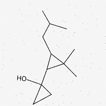 CC(C)CC1C(C2(O)CC2)C1(C)C